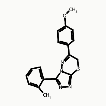 COc1ccc(C2=Nn3c(nnc3-c3ccccc3C)SC2)cc1